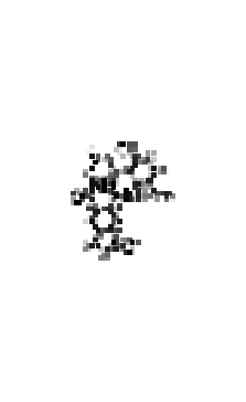 CCCNC(=O)c1cc2c(nc1C(=O)Nc1c(CC)ccc(Cl)c1CC)[S+]([O-])CC2